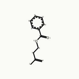 C=C(C)CCOC(=O)c1ccccc1